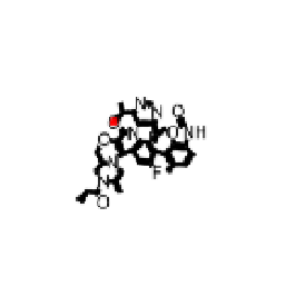 C=CC(=O)N1CC2COc3c(c4cc(F)c(-c5c(C)ccc6[nH]c(=O)oc56)c(F)c4n(-c4c(C(C)C)ncnc4C(C)C)c3=O)N2CC1C